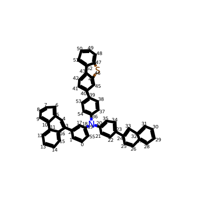 c1cc(-c2cc3ccccc3c3ccccc23)cc(N(c2ccc(-c3ccc4ccccc4c3)cc2)c2ccc(-c3ccc4c(c3)sc3ccccc34)cc2)c1